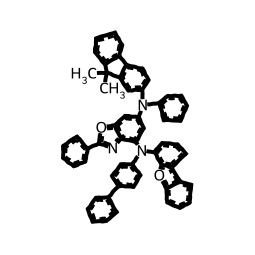 CC1(C)c2ccccc2-c2ccc(N(c3ccccc3)c3cc(N(c4ccc(-c5ccccc5)cc4)c4cccc5c4oc4ccccc45)c4nc(-c5ccccc5)oc4c3)cc21